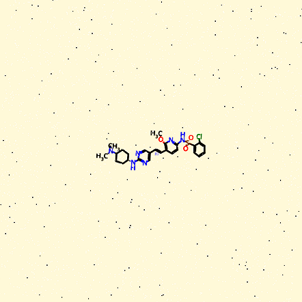 COc1nc(NS(=O)(=O)c2ccccc2Cl)ccc1/C=C/c1cnc(N[C@H]2CC[C@H](N(C)C)CC2)nc1